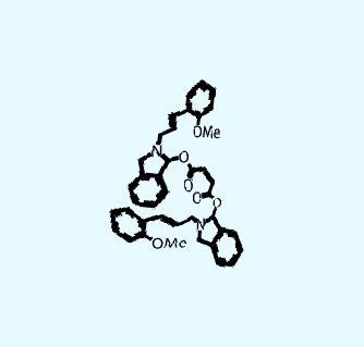 COc1ccccc1/C=C/CN1Cc2ccccc2C1OC(=O)/C=C\C(=O)OC1c2ccccc2CN1C/C=C/c1ccccc1OC